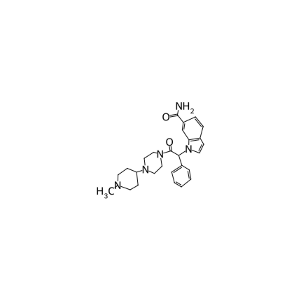 CN1CCC(N2CCN(C(=O)C(c3ccccc3)n3ccc4ccc(C(N)=O)cc43)CC2)CC1